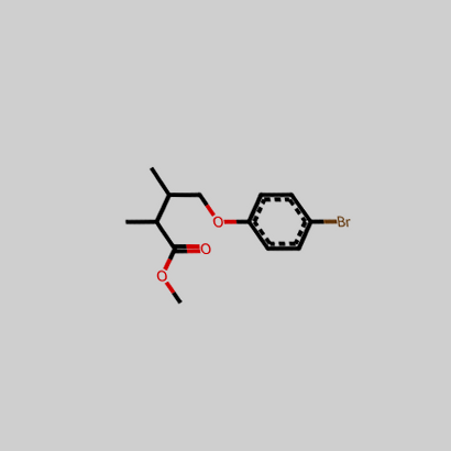 COC(=O)C(C)C(C)COc1ccc(Br)cc1